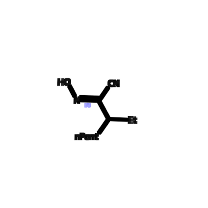 CCCCCC(CC)/C(C#N)=N/O